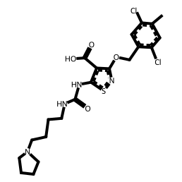 Cc1cc(Cl)c(COc2nsc(NC(=O)NCCCCN3CCCC3)c2C(=O)O)cc1Cl